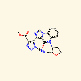 COC(=O)c1nnn(C#N)c1-c1ncn2c1c(=O)n(C1CCOC1C)c1ccccc12